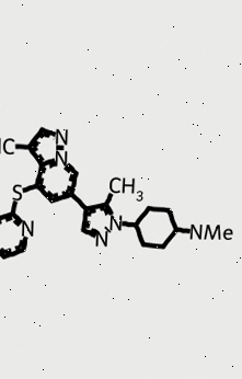 CNC1CCC(n2ncc(-c3cc(Sc4ccccn4)c4c(C#N)cnn4c3)c2C)CC1